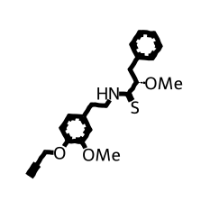 C#CCOc1ccc(CCNC(=S)[C@H](Cc2ccccc2)OC)cc1OC